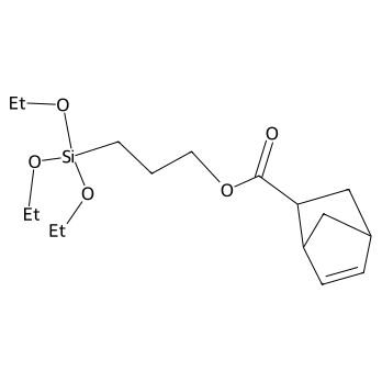 CCO[Si](CCCOC(=O)C1CC2C=CC1C2)(OCC)OCC